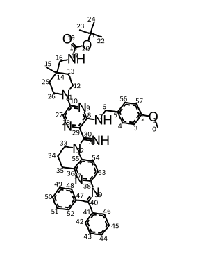 COc1ccc(CNc2nc(N3CCC(C)(CNC(=O)OC(C)(C)C)CC3)cnc2C(=N)N2CCCc3nc(N=C(c4ccccc4)c4ccccc4)ccc32)cc1